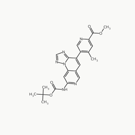 COC(=O)c1cc(C)c(-c2cc3cnc(NC(=O)OC(C)(C)C)cc3n3ncnc23)cn1